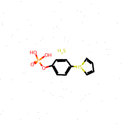 O=P(O)(O)Oc1ccc([SH]2C=CC=C2)cc1.S